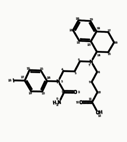 NC(=O)N(CCCN(CCCC(=O)O)C1CCCc2ccccc21)c1ccc(I)cc1